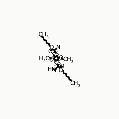 CCCCCCCCOC(=O)C(C#N)=C1Sc2c(OCC)c3c(c(OCC)c2S1)SC(=C(C(=O)OCCCCCCCC)C1CN1)S3